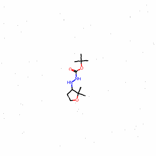 CC(C)(C)OC(=O)NNC1CCOC1(C)C